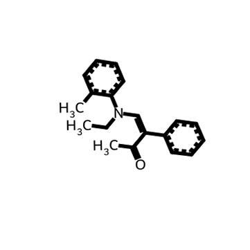 CCN(/C=C(\C(C)=O)c1ccccc1)c1ccccc1C